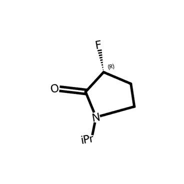 CC(C)N1CC[C@@H](F)C1=O